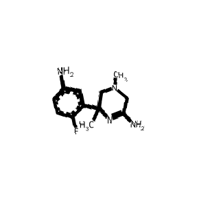 CN1CC(N)=NC(C)(c2cc(N)ccc2F)C1